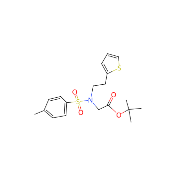 Cc1ccc(S(=O)(=O)N(CCc2cccs2)CC(=O)OC(C)(C)C)cc1